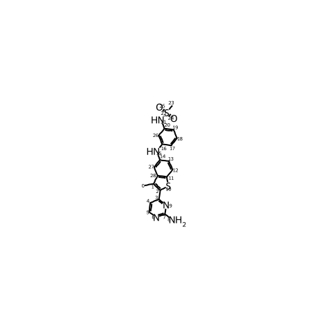 Cc1c(-c2ccnc(N)n2)sc2ccc(Nc3cccc(NS(C)(=O)=O)c3)cc12